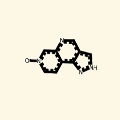 [O-][n+]1ccc2c(c1)ncc1c[nH]nc12